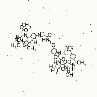 COC(=O)C[C@@H]1N=C(c2ccc(N3CC[C@@H](C(=O)NCCOc4ccc5oc(C(=O)NC(C(=O)N6C[C@H](O)C[C@H]6C(=O)N[C@@H](C)c6ccc(-c7scnc7C)cc6)C(C)(C)C)cc5c4)C3)cc2)c2c(sc(C)c2C)-n2c(C)nnc21